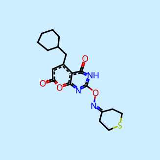 O=c1cc(CC2CCCCC2)c2c(=O)[nH]c(ON=C3CCSCC3)nc2o1